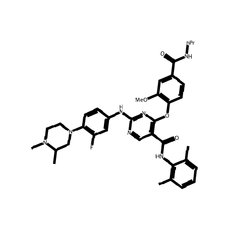 CCCNC(=O)c1ccc(Oc2nc(Nc3ccc(N4CCN(C)C(C)C4)c(F)c3)ncc2C(=O)Nc2c(C)cccc2C)c(OC)c1